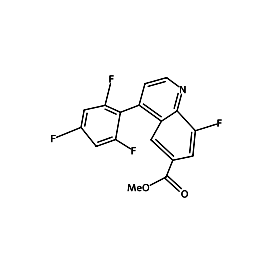 COC(=O)c1cc(F)c2nccc(-c3c(F)cc(F)cc3F)c2c1